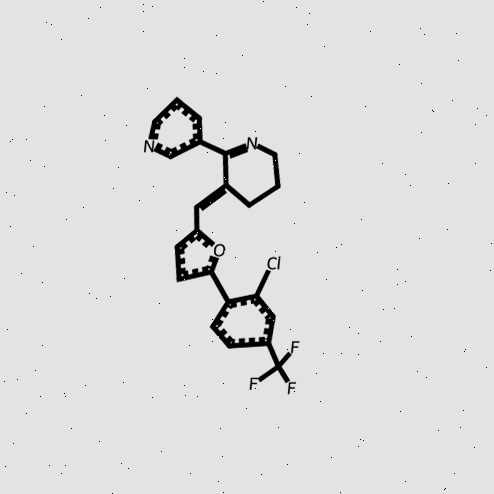 FC(F)(F)c1ccc(-c2ccc(C=C3CCCN=C3c3cccnc3)o2)c(Cl)c1